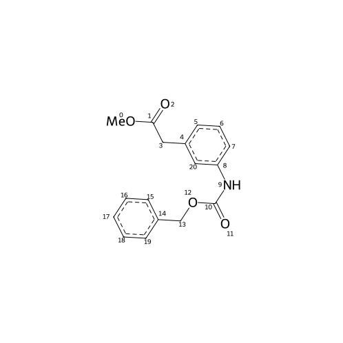 COC(=O)Cc1cccc(NC(=O)OCc2ccccc2)c1